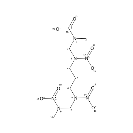 CN(CN(CCCN(CN(C)[N+](=O)[O-])[N+](=O)[O-])[N+](=O)[O-])[N+](=O)[O-]